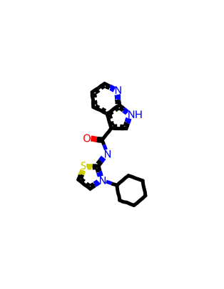 O=C(N=c1sccn1C1CCCCC1)c1c[nH]c2ncccc12